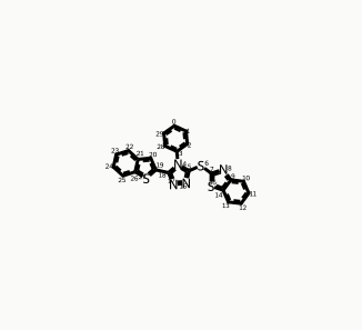 c1ccc(-n2c(Sc3nc4ccccc4s3)nnc2-c2cc3ccccc3s2)cc1